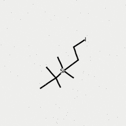 CC(C)(C)[Si](C)(C)CCI